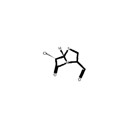 O=CC1CS[C@H]2[C@@H](Cl)C(=O)N12